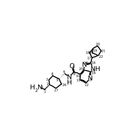 NC[C@H]1CC[C@H](CNC(=O)c2ccnc3[nH]c(C4CC5CCC4C5)nc23)CC1